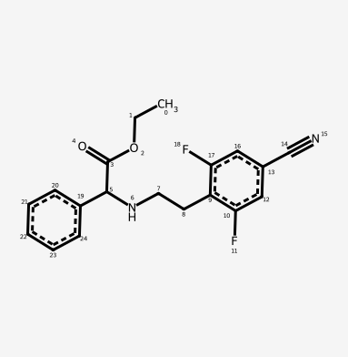 CCOC(=O)C(NCCc1c(F)cc(C#N)cc1F)c1ccccc1